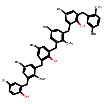 COc1ccc(C(C)(C)C)cc1Cc1cc(C(C)(C)C)cc(Cc2cc(C(C)(C)C)cc(Cc3cc(C(C)(C)C)cc(Cc4cc(C(C)(C)C)cc(Cc5cc(C(C)(C)C)ccc5O)c4OC)c3O)c2OC)c1O